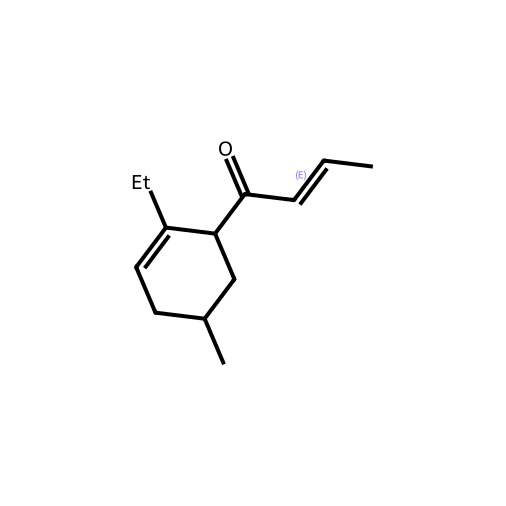 C/C=C/C(=O)C1CC(C)CC=C1CC